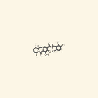 C[C@@H]1CC[C@H](C)[C@@H]2Cn3cc(C(=O)NCc4c(Cl)ccc(Cl)c4F)c(=O)c(O)c3C(=O)N12